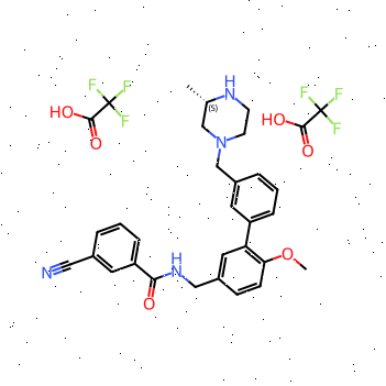 COc1ccc(CNC(=O)c2cccc(C#N)c2)cc1-c1cccc(CN2CCN[C@@H](C)C2)c1.O=C(O)C(F)(F)F.O=C(O)C(F)(F)F